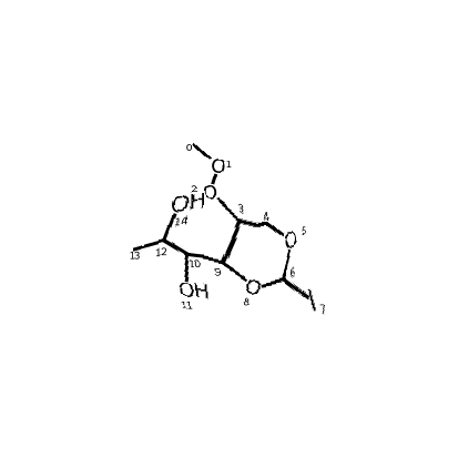 COOC1COC(I)OC1C(O)C(C)O